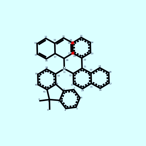 CC1(C)c2ccccc2-c2c(N(c3ccc4ccccc4c3-c3ccccc3)C3C=CC=C4C=CC=CC43)cccc21